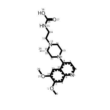 COc1cc2nccc(N3CCN(CCNC(=O)O)[C@@H](C)C3)c2cc1OC